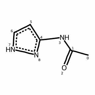 CC(=O)Nc1c[c][nH]n1